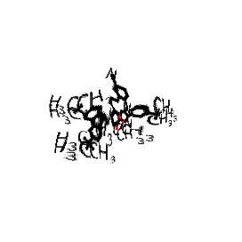 CC(C)(C)c1ccc2c(c1)c1cc(C(C)(C)C)ccc1n2-c1ccc(C#N)cc1/C=C/Cc1cc(C#N)ccc1-n1c2ccc(C(C)(C)C)cc2c2cc(C(C)(C)C)ccc21